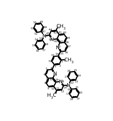 Cc1cc(-c2ccc3ccc4c(C)cc(N(c5ccccc5)c5ccccc5)nc4c3n2)ccc1-c1ccc2ccc3c(C)cc(N(c4ccccc4)c4ccccc4)nc3c2n1